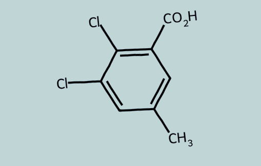 Cc1cc(Cl)c(Cl)c(C(=O)O)c1